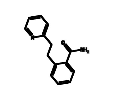 NC(=O)c1ccccc1CCc1ccccn1